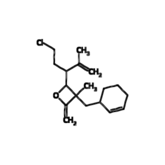 C=C(C)C(CCCl)C1OC(=C)C1(C)CC1C=CCCC1